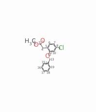 COC(=O)Cc1ccc(Cl)cc1OCc1ccccc1